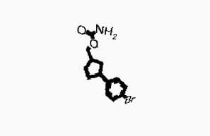 NC(=O)OCC1CCC(c2ccc(Br)cc2)C1